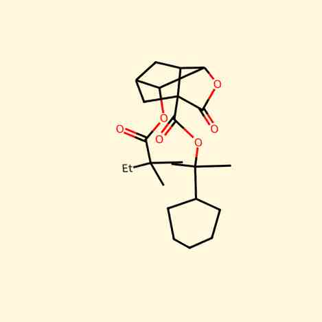 CCC(C)(C)C(=O)OC1C2CC3C1OC(=O)C3(C(=O)OC(C)(C)C1CCCCC1)C2